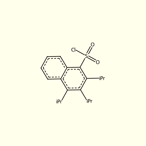 CC(C)c1c(C(C)C)c(S(=O)(=O)Cl)c2ccccc2c1C(C)C